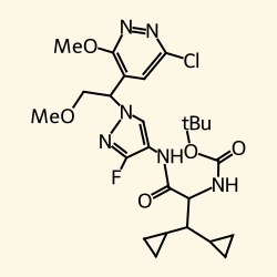 COCC(c1cc(Cl)nnc1OC)n1cc(NC(=O)C(NC(=O)OC(C)(C)C)C(C2CC2)C2CC2)c(F)n1